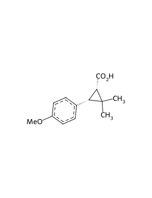 COc1ccc([C@@H]2[C@H](C(=O)O)C2(C)C)cc1